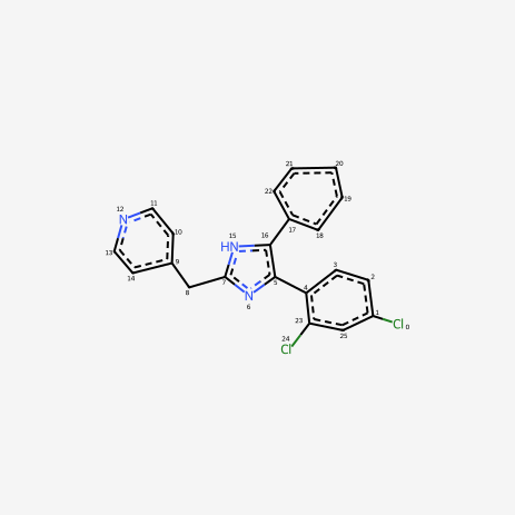 Clc1ccc(-c2nc(Cc3ccncc3)[nH]c2-c2ccccc2)c(Cl)c1